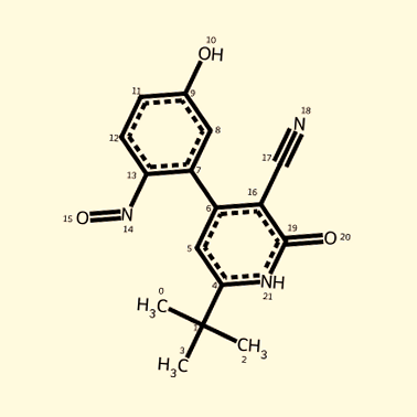 CC(C)(C)c1cc(-c2cc(O)ccc2N=O)c(C#N)c(=O)[nH]1